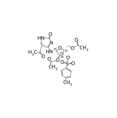 CC(=O)OC[C@H]1O[C@@H](Nc2nc(=O)[nH]cc2C(C)=O)[C@H](OC(C)=O)[C@H]1OS(=O)(=O)c1ccc(C)cc1